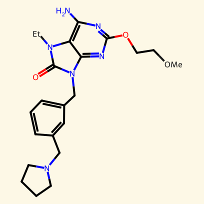 CCn1c(=O)n(Cc2cccc(CN3CCCC3)c2)c2nc(OCCOC)nc(N)c21